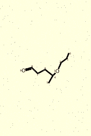 CCCOC(C)CCC=O